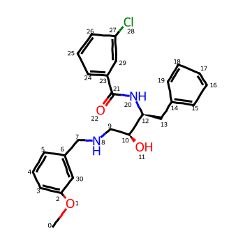 COc1cccc(CNC[C@H](O)[C@H](Cc2ccccc2)NC(=O)c2cccc(Cl)c2)c1